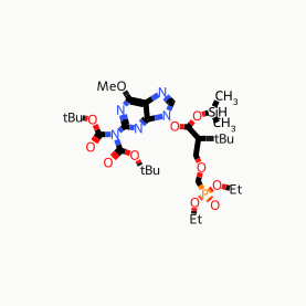 CCOP(=O)(COCC(C(On1cnc2c(OC)nc(N(C(=O)OC(C)(C)C)C(=O)OC(C)(C)C)nc21)O[SiH](C)C)C(C)(C)C)OCC